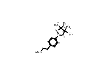 CSCCc1ccc(B2OC(C)(C)C(C)(C)O2)cc1